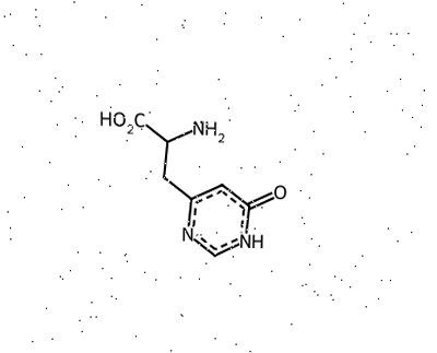 NC(Cc1cc(=O)[nH]cn1)C(=O)O